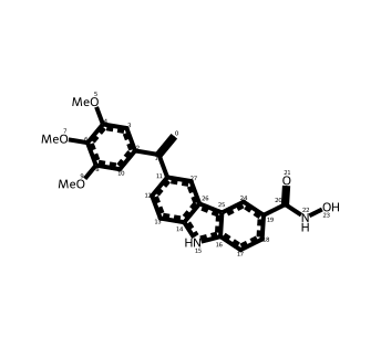 C=C(c1cc(OC)c(OC)c(OC)c1)c1ccc2[nH]c3ccc(C(=O)NO)cc3c2c1